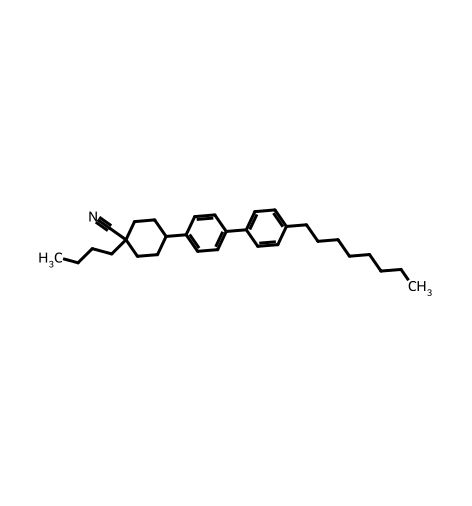 CCCCCCCCc1ccc(-c2ccc(C3CCC(C#N)(CCCC)CC3)cc2)cc1